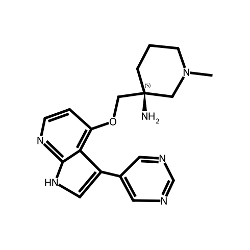 CN1CCC[C@@](N)(COc2ccnc3[nH]cc(-c4cncnc4)c23)C1